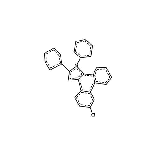 Clc1ccc2c(c1)c1ccccc1c1c2cc(-c2ccccc2)n1-c1ccccc1